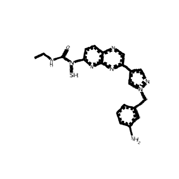 CCNC(=O)N(S)c1ccc2ncc(-c3cnn(Cc4cccc(N)c4)c3)nc2n1